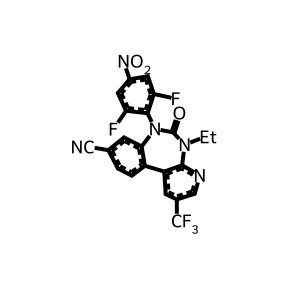 CCN1C(=O)N(c2c(F)cc([N+](=O)[O-])cc2F)c2cc(C#N)ccc2-c2cc(C(F)(F)F)cnc21